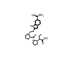 CCC(C(=O)O)N1CCC[C@@H]1C(=O)N1CCC[C@H]1CCc1cc2ccc(C(=N)N)cc2n1C